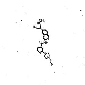 CN/C=C(\C=N)c1ccc2cnc(NC(=O)c3ccnc(N4CCN(CCF)CC4)c3)cc2c1